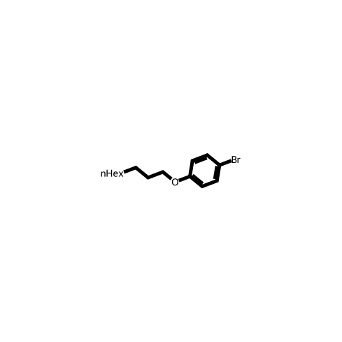 CCCCCCCCCOc1ccc(Br)cc1